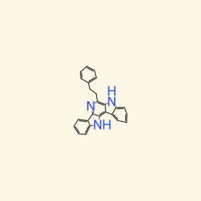 c1ccc(CCc2nc3c4ccccc4[nH]c3c3c2[nH]c2ccccc23)cc1